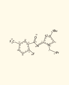 CC(C)Cn1cc(C(C)(C)C)sc1=NC(=O)c1cc(C(F)(F)F)ccc1F